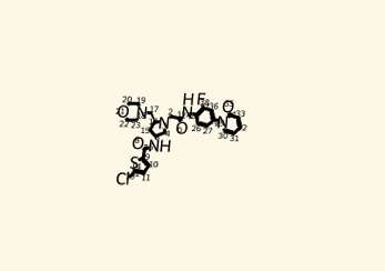 O=C(CN1C[C@H](NC(=O)c2ccc(Cl)s2)C[C@H]1CN1CCOCC1)Nc1ccc(-n2ccccc2=O)cc1F